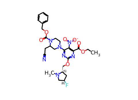 CCOC(=O)c1nc(OC[C@@H]2C[C@@H](F)CN2C)nc(N2CCN(C(=O)OCc3ccccc3)C(CC#N)C2)c1[N+](=O)[O-]